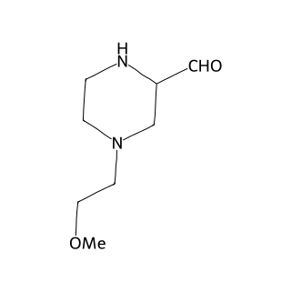 COCCN1CCNC(C=O)C1